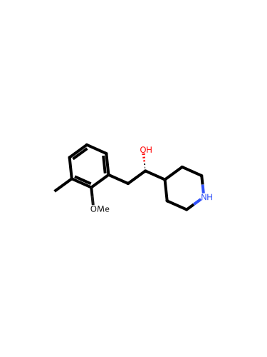 COc1c(C)cccc1C[C@H](O)C1CCNCC1